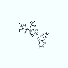 O=C(O)C[C@H](NC(=O)OCC1c2ccccc2-c2ccccc21)C(=O)N1C(F)C(F)C(F)C1F